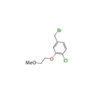 COCCOc1cc(CBr)ccc1Cl